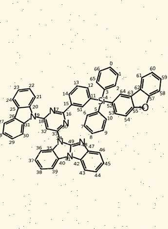 c1ccc([Si](c2ccccc2)(c2cccc(-c3nc(-n4c5ccccc5c5ccccc54)cc(-n4c5ccccc5n5c6ccccc6nc45)n3)c2)c2ccc3oc4ccccc4c3c2)cc1